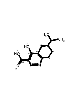 CC(C)C1CCc2ncc(C(=O)O)c(O)c2C1